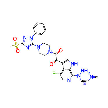 C=N/C=C\N(N)c1ncc(F)c2c(C(=O)C(=O)N3CCN(c4nc(S(C)(=O)=O)nn4-c4ccccc4)CC3)c[nH]c12